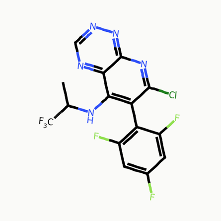 CC(Nc1c(-c2c(F)cc(F)cc2F)c(Cl)nc2nncnc12)C(F)(F)F